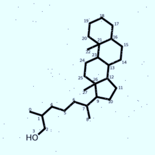 CC(CO)CCCC(C)C1CCC2C3CCC4CCCCC4(C)C3CCC12C